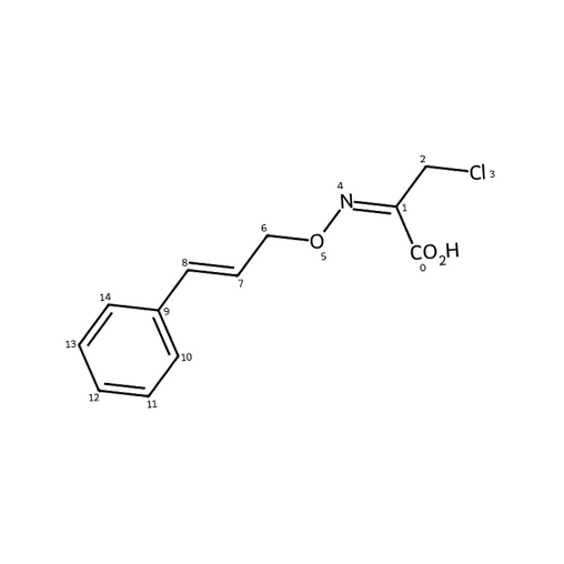 O=C(O)/C(CCl)=N\OC/C=C/c1ccccc1